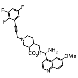 COc1ccc2nccc([C@@H](N)CCC3CCN(CC#Cc4cc(F)cc(F)c4F)CC3C(=O)O)c2c1